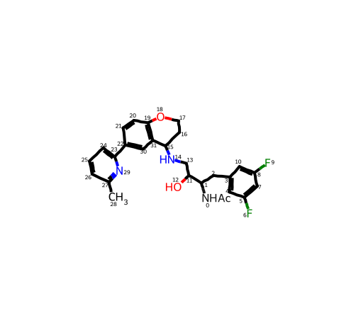 CC(=O)NC(Cc1cc(F)cc(F)c1)C(O)CNC1CCOc2ccc(-c3cccc(C)n3)cc21